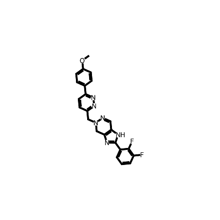 COc1ccc(-c2ccc(CN3Cc4nc(-c5cccc(F)c5F)[nH]c4C=N3)nn2)cc1